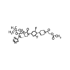 CC(=O)OCC(=O)N1CC=C(c2c(F)cc(N3C[C@H](CN(C(=O)OC(C)(C)C)c4cnsn4)OC3=O)cc2F)CC1